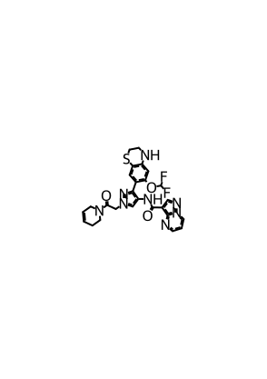 O=C(Nc1cn(CC(=O)N2CC=CCC2)nc1-c1cc2c(cc1OC(F)F)NCCS2)c1cnn2cccnc12